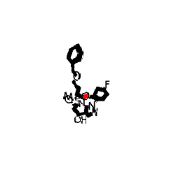 COc1cc(F)ccc1-n1ncc2c(O)cc(=O)n(CCCCOCc3ccccc3)c21